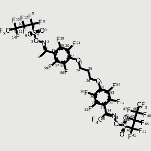 C/C(=N\OS(=O)(=O)C(F)(F)C(F)(F)C(F)(F)C(F)(F)F)c1c(F)c(F)c(OCCCOc2c(F)c(F)c(/C(=N/OS(=O)(=O)C(F)(F)C(F)(F)C(F)(F)C(F)(F)F)C(F)(F)F)c(F)c2F)c(F)c1F